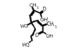 CC(=CC(O)(C=C(C)C(=O)O)CCCO)C(=O)O